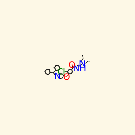 CCCN(CCC)CCNC(=O)c1ccc(OC2CCN(CC(c3ccccc3)c3ccccc3)CC2)c(Cl)c1